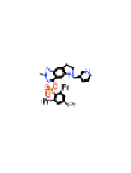 Cc1nc(OS(=O)(=O)c2c(C(C)C)cc(C(C)C)cc2C(C)C)c2cc3c(cc2n1)CCN3Cc1cccnc1